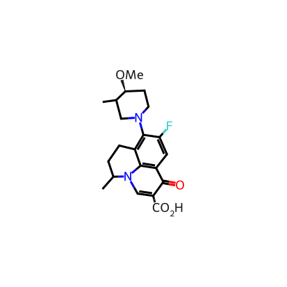 CO[C@H]1CCN(c2c(F)cc3c(=O)c(C(=O)O)cn4c3c2CCC4C)CC1C